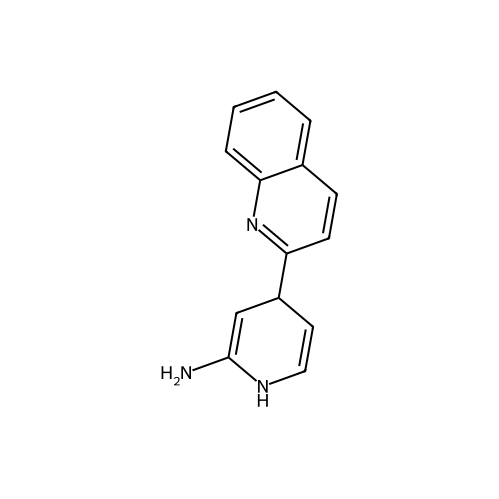 NC1=CC(c2ccc3ccccc3n2)C=CN1